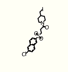 O=C(CCS(=O)(=O)c1ccc2cc(Cl)ccc2c1)N1CCC(CI)CC1